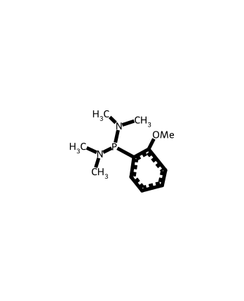 COc1ccccc1P(N(C)C)N(C)C